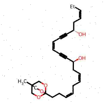 CC/C=C\C[C@H](O)C#C/C=C\C#C[C@@H](O)C/C=C\C/C=C\CCC12OCC(C)(CO1)CO2